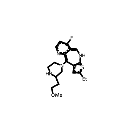 CCc1cc2c(s1)NC=c1c(F)ccnc1=C2N1CCNC(CCOC)C1